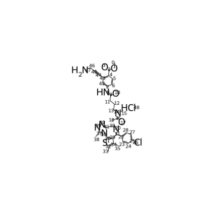 COC(=O)c1ccc(NC(=O)CCCN(C)C(=O)C[C@@H]2N=C(c3ccc(Cl)cc3)c3c(sc(C)c3C)-n3c(C)nnc32)cc1C#CCN.Cl